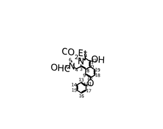 CCOC(=O)c1nc(CN(C)C=O)c2cc(Oc3ccccc3)ccc2c1O